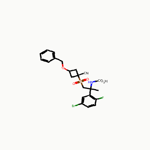 CC(CS(=O)(=O)C1(C#N)CC(OCc2ccccc2)C1)(NC(=O)O)c1cc(Br)ccc1F